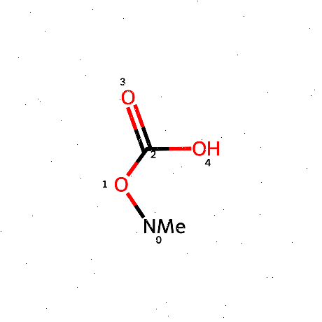 CNOC(=O)O